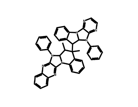 CC1C2N(c3ccccc3)c3nc4ccccc4nc3N2c2ccccc2C1(C)C1c2ccccc2N2c3nccnc3N(c3ccccc3)C12